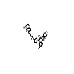 Cc1ccc([C@@H]2CCC3(CCOCC3)CO2)c([C@@H](C(=O)O)N2CC[C@@H](OCCCCc3ccc4c(n3)NCCC4)C2)c1